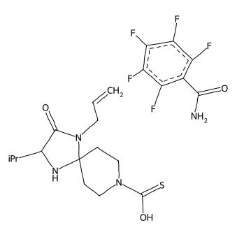 C=CCN1C(=O)C(C(C)C)NC12CCN(C(O)=S)CC2.NC(=O)c1c(F)c(F)c(F)c(F)c1F